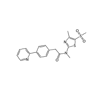 Cc1nc(N(C)C(=O)Cc2ccc(-c3ccccn3)cc2)sc1S(C)(=O)=O